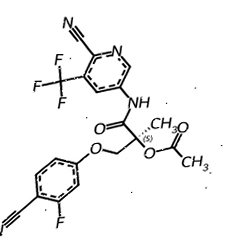 CC(=O)O[C@@](C)(COc1ccc(C#N)c(F)c1)C(=O)Nc1cnc(C#N)c(C(F)(F)F)c1